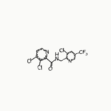 O=C(NCc1ncc(C(F)(F)F)cc1Cl)c1nccc(Cl)c1Cl